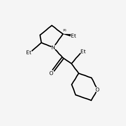 CCC(C(=O)N1C(CC)CC[C@H]1CC)C1CCCOC1